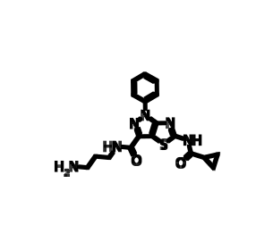 NCCCNC(=O)c1nn(-c2ccccc2)c2nc(NC(=O)C3CC3)sc12